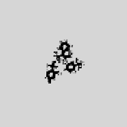 Cc1ccc(C(F)(F)CNC(=O)c2c(Oc3cccc(C(F)(F)F)c3)cnc3ccccc23)c(C)c1